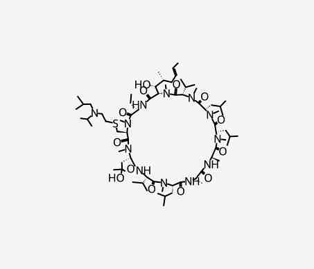 C/C=C/C[C@@H](C)[C@@H](O)[C@H]1C(=O)N[C@@H](CC)C(=O)N(C)[C@H](CSCCN(CC(C)C)C(C)C)C(=O)N(C)[C@@H](CC(C)(C)O)C(=O)N[C@@H](C(C)C)C(=O)N(C)[C@@H](CC(C)C)C(=O)N[C@@H](C)C(=O)N[C@H](C)C(=O)N(C)[C@@H](CC(C)C)C(=O)N(C)[C@@H](CC(C)C)C(=O)N(C)[C@@H](C(C)C)C(=O)N1C